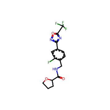 O=C(NCc1ccc(-c2noc(C(F)(F)F)n2)cc1F)C1CCCO1